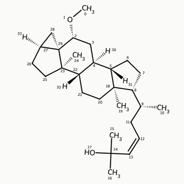 CO[C@@H]1C[C@H]2[C@@H]3CC[C@H]([C@H](C)C/C=C\C(C)(C)O)[C@@]3(C)CC[C@@H]2[C@@]2(C)CC[C@H]3C[C@]312